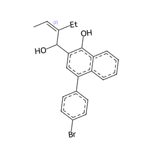 C/C=C(/CC)C(O)c1cc(-c2ccc(Br)cc2)c2ccccc2c1O